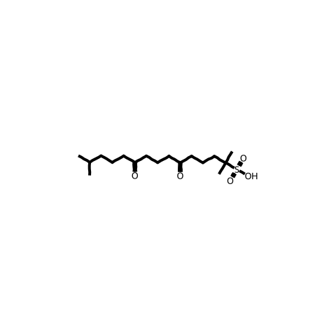 CC(C)CCCC(=O)CCCC(=O)CCCC(C)(C)S(=O)(=O)O